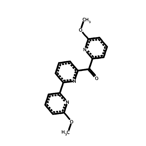 COc1cccc(C(=O)c2cccc(-c3cccc(OC)n3)n2)n1